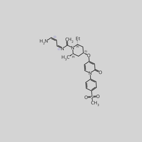 C=C(/N=C\C=C/N)N1[C@H](CC)C[C@@H](Oc2ccn(-c3ccc(S(C)(=O)=O)cc3)c(=O)c2)C[C@H]1C